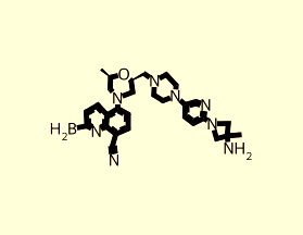 Bc1ccc2c(N3C[C@H](CN4CCN(c5ccc(N6CC(C)(N)C6)nc5)CC4)O[C@H](C)C3)ccc(C#N)c2n1